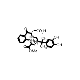 COC(=O)C(C)Nc1ccccc1C(=O)[C@H](CC(=O)O)NCCC(C)(C)c1ccc(O)c(O)c1